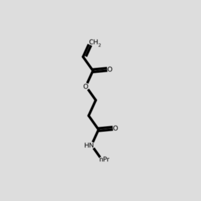 C=CC(=O)OCCC(=O)NCCC